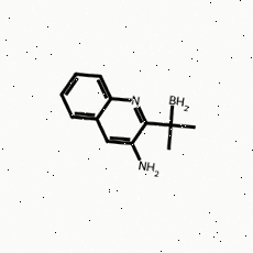 BC(C)(C)c1nc2ccccc2cc1N